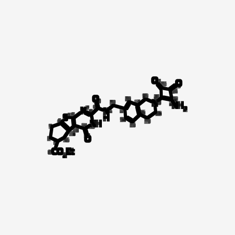 CCOC(=O)C1CCc2sc3nc(C(=O)NCc4ccc5c(c4)CN(c4c(N)c(=O)c4=O)CC5)[nH]c(=O)c3c2C1